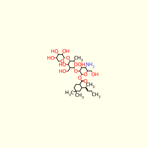 CC/C=C(\C)C1CC(C)(C)CCC1C(=O)O[C@@H]1OC(CO)[C@H](N)C(O)C1O[C@@H]1OC(C)[C@H](O[C@@H]2OC[C@@H](O)C(O)C2O)C(O)C1CO